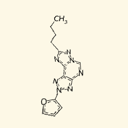 CCCCc1nc2c3nn(-c4ccco4)nc3ncn2n1